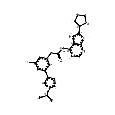 O=C(Cc1cc(F)cc(-c2cnn(C(F)F)c2)c1)Nc1ncnc2nc(C3CCCC3)[nH]c12